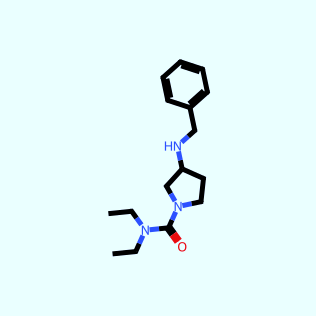 CCN(CC)C(=O)N1CCC(NCc2ccccc2)C1